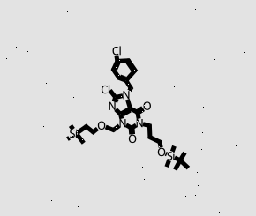 CC(C)(C)[Si](C)(C)OCCCn1c(=O)c2c(nc(Cl)n2Cc2ccc(Cl)cc2)n(COCC[Si](C)(C)C)c1=O